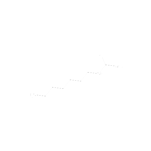 [CH2]CCCC(CCCC)NCCCCCCN